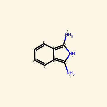 Nc1[nH]c(N)c2ccccc12